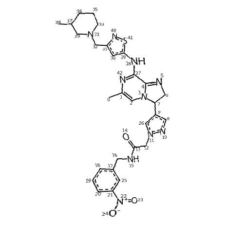 CC1=CN2C(=NCC2c2cnn(CC(=O)NCc3cccc([N+](=O)[O-])c3)c2)C(Nc2cc(CN3CCCC(C)C3)ns2)=N1